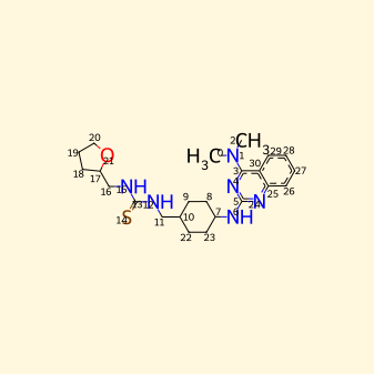 CN(C)c1nc(NC2CCC(CNC(=S)NCC3CCCO3)CC2)nc2ccccc12